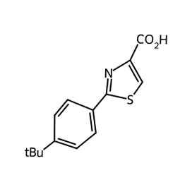 CC(C)(C)c1ccc(-c2nc(C(=O)O)cs2)cc1